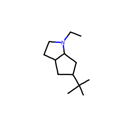 CCN1CCC2CC(C(C)(C)C)CC21